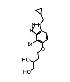 OCC(O)CCOc1ccc2c(nnn2CC2CC2)c1Br